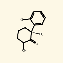 N[C@@]1(c2ccccc2Cl)CCCC(O)C1=O